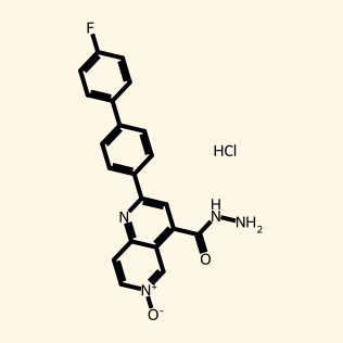 Cl.NNC(=O)c1cc(-c2ccc(-c3ccc(F)cc3)cc2)nc2cc[n+]([O-])cc12